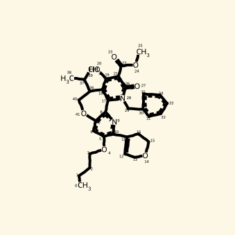 CCCCOc1cc2c(nc1C1=CCOCC1)-c1c(c(O)c(C(=O)OC)c(=O)n1Cc1ccccc1)C(C(C)C)CO2